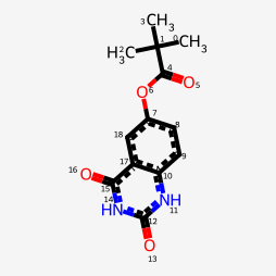 CC(C)(C)C(=O)Oc1ccc2[nH]c(=O)[nH]c(=O)c2c1